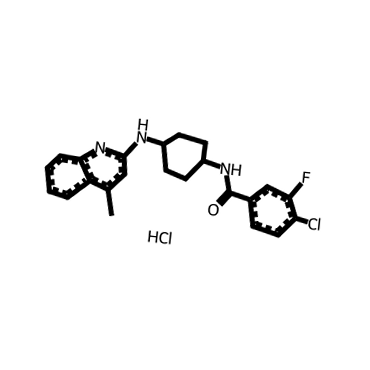 Cc1cc(NC2CCC(NC(=O)c3ccc(Cl)c(F)c3)CC2)nc2ccccc12.Cl